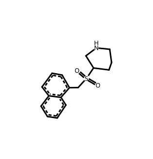 O=S(=O)(Cc1cccc2ccccc12)C1CCCNC1